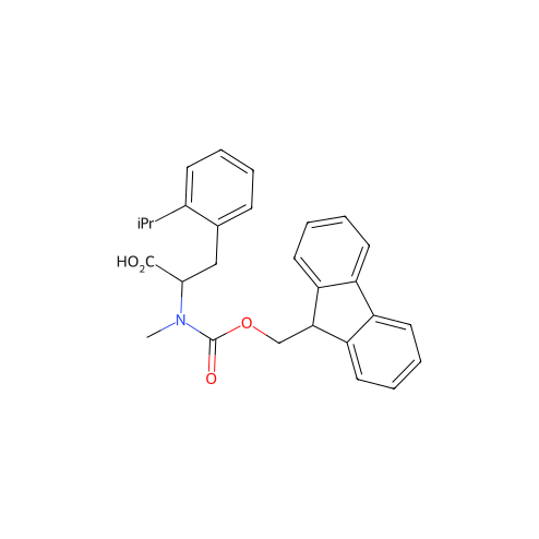 CC(C)c1ccccc1CC(C(=O)O)N(C)C(=O)OCC1c2ccccc2-c2ccccc21